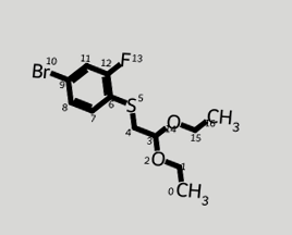 CCOC(CSc1ccc(Br)cc1F)OCC